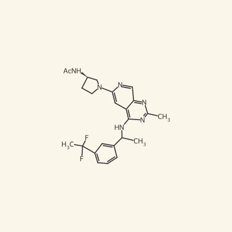 CC(=O)N[C@@H]1CCN(c2cc3c(NC(C)c4cccc(C(C)(F)F)c4)nc(C)nc3cn2)C1